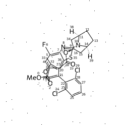 COC(=O)c1cc(F)c2nc(N3[C@@H]4CC[C@H]3C[C@@H](OC(=O)c3c(-c5c(Cl)cccc5Cl)noc3C)C4)sc2c1